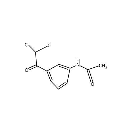 CC(=O)Nc1cccc(C(=O)C(Cl)Cl)c1